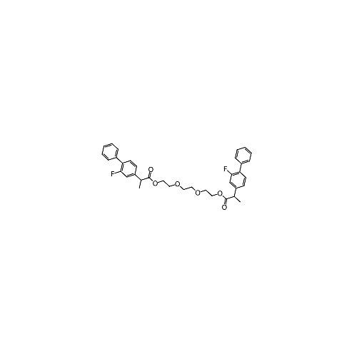 CC(C(=O)OCCOCCOCCOC(=O)C(C)c1ccc(-c2ccccc2)c(F)c1)c1ccc(-c2ccccc2)c(F)c1